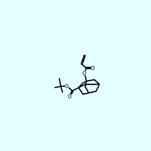 C=CC(=O)OC12CC3CC(C1)CC(C(=O)OC(C)(C)C)(C3)C2